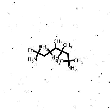 CCC(N)(P)CC(C)(C)C(C)C(C)(C)CC(C)(C)N